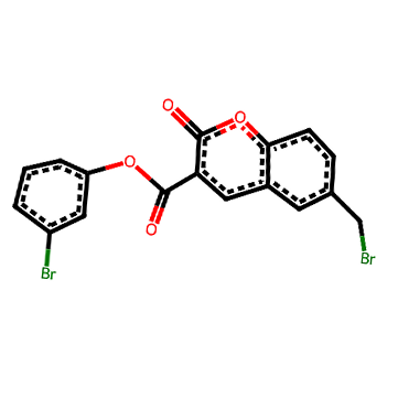 O=C(Oc1cccc(Br)c1)c1cc2cc(CBr)ccc2oc1=O